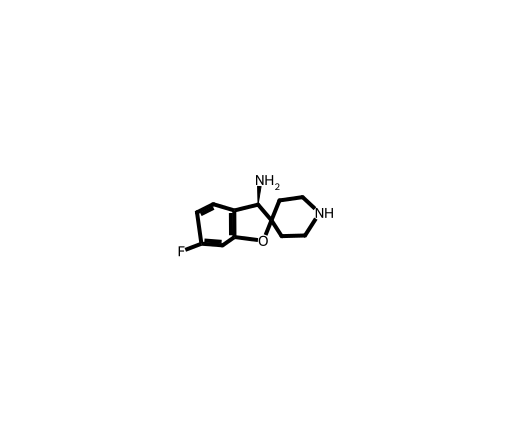 N[C@@H]1c2ccc(F)cc2OC12CCNCC2